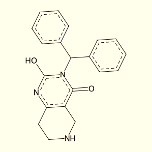 O=c1c2c(nc(O)n1C(c1ccccc1)c1ccccc1)CCNC2